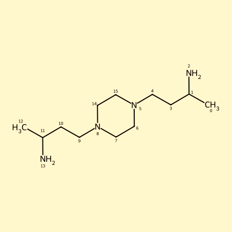 CC(N)CCN1CCN(CCC(C)N)CC1